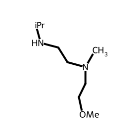 COCCN(C)CCNC(C)C